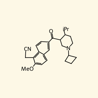 COc1ccc2cc(C(=O)C3CN(C4CCC4)CCC3C(C)C)ccc2c1CC#N